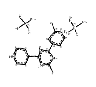 Cc1nc(-c2cc[nH+]cc2)nc(-c2cc[nH+]c(C)c2)n1.F[B-](F)(F)F.F[B-](F)(F)F